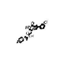 C[C@@H](CN1CCN(C)CC1)NC(=O)C[C@@H]1CNC(=O)c2cc(-c3cccc(Cl)c3)cn21